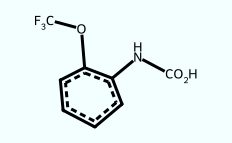 O=C(O)Nc1ccccc1OC(F)(F)F